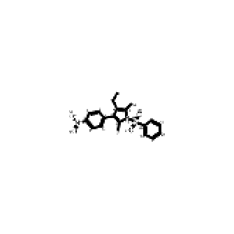 CCc1c(-c2ccc([N+](=O)[O-])cc2)c(C)n(S(=O)(=O)c2ccccc2)c1C